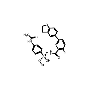 CC(=O)Nc1ccc([As](=O)(O)OO)cc1.O=C(O)c1nc(-c2ccc3c(c2)CCO3)ccc1Cl